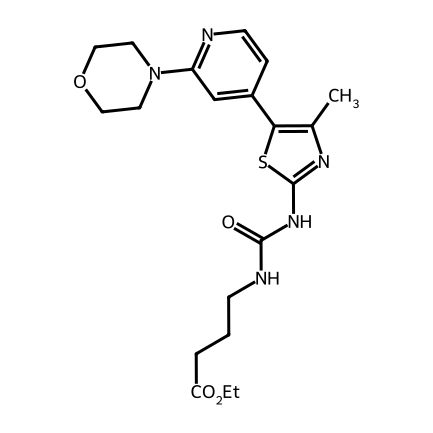 CCOC(=O)CCCNC(=O)Nc1nc(C)c(-c2ccnc(N3CCOCC3)c2)s1